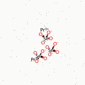 O=[Se](=O)([O-])[O-].O=[Se](=O)([O-])[O-].O=[Se](=O)([O-])[O-].[Pr+3].[Pr+3]